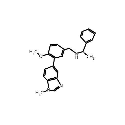 COc1ccc(CN[C@H](C)c2ccccc2)cc1-c1ccc2c(c1)ncn2C